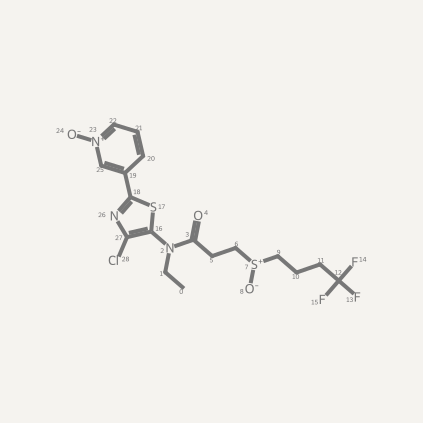 CCN(C(=O)CC[S+]([O-])CCCC(F)(F)F)c1sc(-c2ccc[n+]([O-])c2)nc1Cl